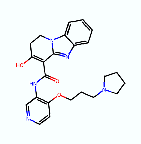 O=C(Nc1cnccc1OCCCN1CCCC1)C1=C(O)CCn2c1nc1ccccc12